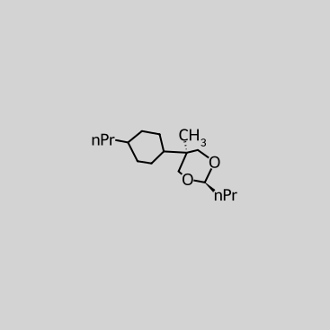 CCCC1CCC([C@]2(C)CO[C@H](CCC)OC2)CC1